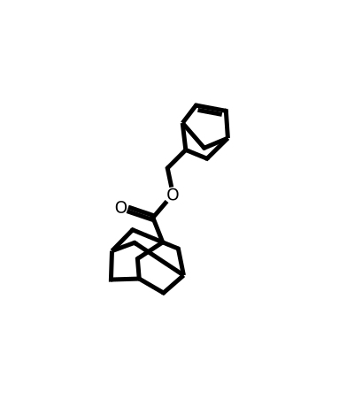 O=C(OCC1CC2C=CC1C2)C12CC3CC(CC(C3)C1)C2